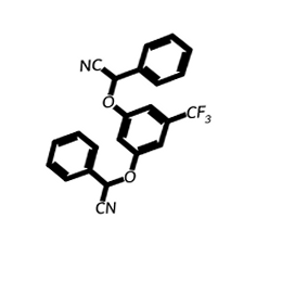 N#CC(Oc1cc(OC(C#N)c2ccccc2)cc(C(F)(F)F)c1)c1ccccc1